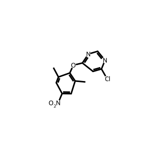 Cc1cc([N+](=O)[O-])cc(C)c1Oc1cc(Cl)ncn1